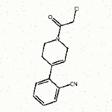 N#Cc1ccccc1C1=CCN(C(=O)CCl)CC1